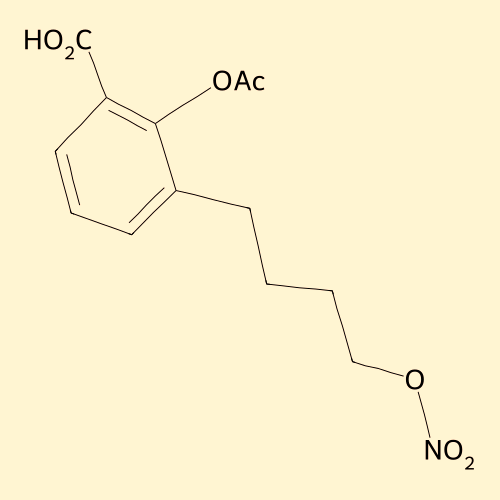 CC(=O)Oc1c(CCCCO[N+](=O)[O-])cccc1C(=O)O